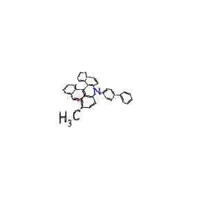 Cc1ccc(N(c2ccc(-c3ccccc3)cc2)c2ccc3ccccc3c2-c2cccc3ccccc23)cc1